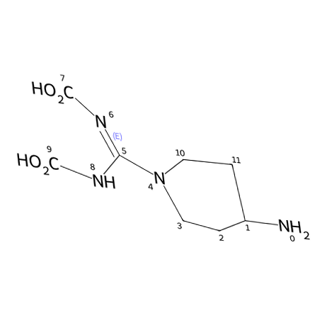 NC1CCN(/C(=N/C(=O)O)NC(=O)O)CC1